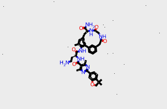 Cc1cc2cc(c1NC(=O)[C@H](CCN)NC(=O)c1c(C)nc(-c3ccc4c(c3)OCC4(C)C)nc1C)-c1cccc(c1)CC(=O)NCC(=O)NC(C(N)=O)C2